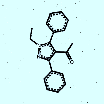 CCn1nc(-c2ccccc2)c(C(C)=O)c1-c1ccccc1